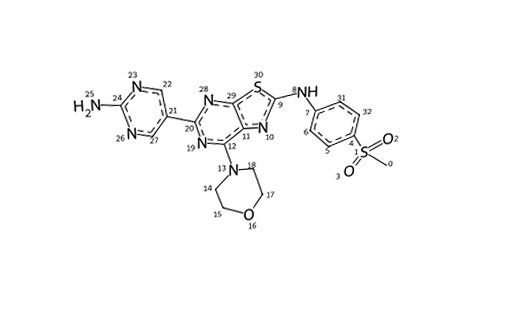 CS(=O)(=O)c1ccc(Nc2nc3c(N4CCOCC4)nc(-c4cnc(N)nc4)nc3s2)cc1